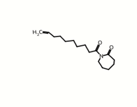 C=CCCCCCCCC(=O)N1CCCCCC1=O